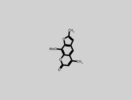 COc1c2oc(C)cc2cc2c(C)cc(=O)oc12